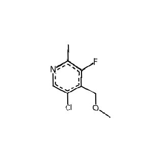 COCc1c(Cl)cnc(C)c1F